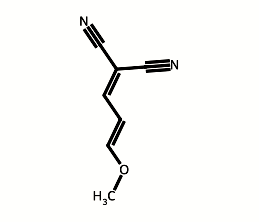 CO/C=C/C=C(C#N)C#N